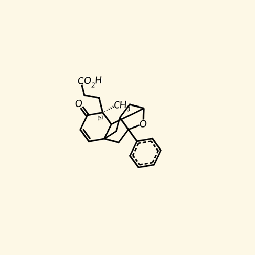 C[C@@]1(CCC(=O)O)C(=O)C=CC23CC4CC(OC4(c4ccccc4)C2)C31